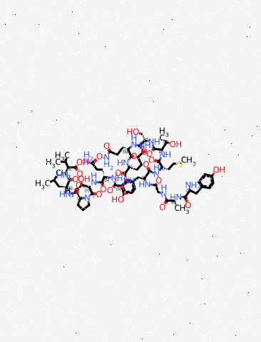 CSCC[C@H](NC(=O)[C@H](Cc1ccccc1)NC(=O)CNC(=O)[C@@H](C)NC(=O)[C@@H](N)Cc1ccc(O)cc1)C(=O)N[C@H](C(=O)N[C@@H](CO)C(=O)N[C@@H](CCC(N)=O)C(=O)N[C@@H](CCCCN)C(=O)N[C@@H](CO)C(=O)N[C@@H](CCC(N)=O)C(=O)N[C@H](C(=O)N1CCC[C@H]1C(=O)N[C@@H](CC(C)C)C(=O)N[C@H](C(=O)O)C(C)C)[C@@H](C)O)[C@@H](C)O